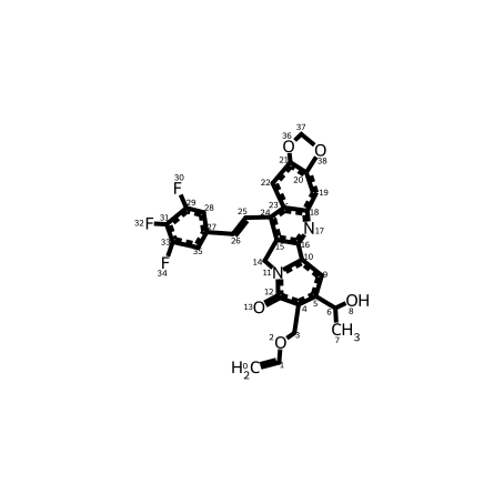 C=COCc1c(C(C)O)cc2n(c1=O)Cc1c-2nc2cc3c(cc2c1/C=C/c1cc(F)c(F)c(F)c1)OCO3